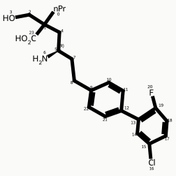 CCCC(CO)(C[C@H](N)CCc1ccc(-c2cc(Cl)ccc2F)cc1)C(=O)O